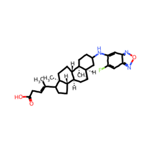 C/C(=C\CC(=O)O)C1CC[C@H]2[C@@H]3CC[C@@H]4CC(Nc5cc6nonc6cc5F)CC[C@]4(C)[C@H]3CC[C@]12C